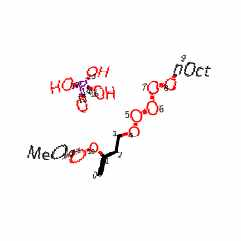 C=C(CCOOOOOCCCCCCCC)OOOC.O=P(O)(O)O